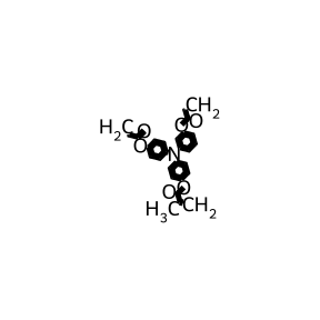 C=CC(=O)Oc1ccc(N(c2ccc(OC(=O)C(=C)C)cc2)c2cccc(OC(=O)C=C)c2)cc1